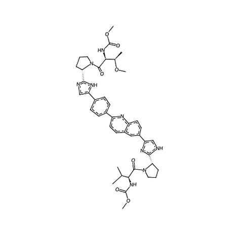 COC(=O)N[C@H](C(=O)N1CCC[C@H]1c1nc(-c2ccc3nc(-c4ccc(-c5cnc([C@@H]6CCCN6C(=O)[C@@H](NC(=O)OC)[C@@H](C)OC)[nH]5)cc4)ccc3c2)c[nH]1)C(C)C